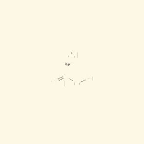 C[CH]O[SH](=O)=O.N